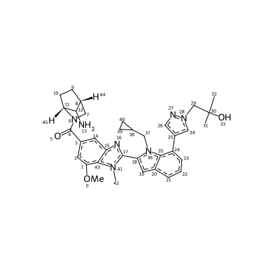 COc1cc(C(=O)N2C[C@H]3CC[C@@H]2C3N)cc2nc(-c3cc4cccc(-c5cnn(CC(C)(C)O)c5)c4n3CC3CC3)n(C)c12